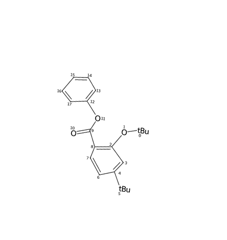 CC(C)(C)Oc1cc(C(C)(C)C)ccc1C(=O)Oc1ccccc1